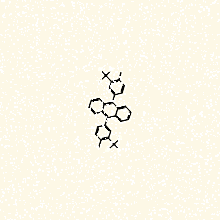 Cc1ccc(-c2c3ccccc3c(-c3ccc(C)c(C(F)(F)F)c3)c3ccccc23)cc1C(F)(F)F